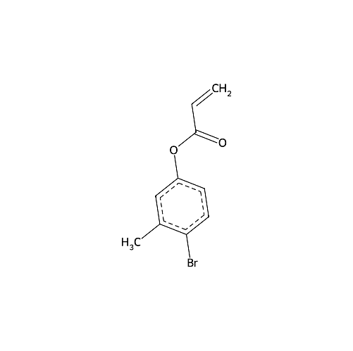 C=CC(=O)Oc1ccc(Br)c(C)c1